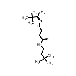 C/C(=N/OCCC(=O)NCCC(C)(C)C)C(C)(C)C